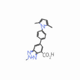 Cc1ccc(C)n1-c1ccc(-c2cc(C(=O)O)c3nn(C)nc3c2)cc1